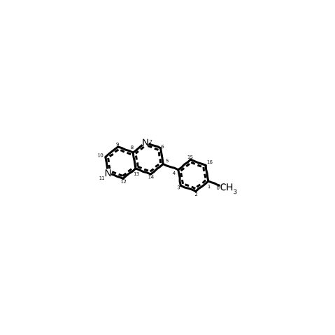 Cc1ccc(-c2cnc3ccncc3c2)cc1